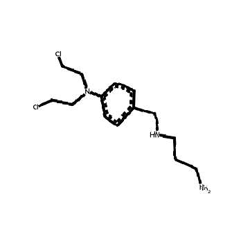 NCCCNCc1ccc(N(CCCl)CCCl)cc1